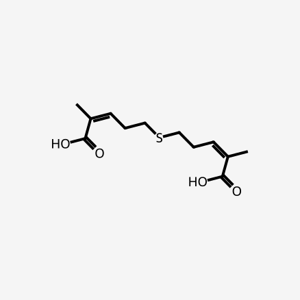 CC(=CCCSCCC=C(C)C(=O)O)C(=O)O